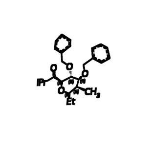 CC[C@H]1O[C@@H](C(=O)C(C)C)[C@H](OCc2ccccc2)[C@@H](OCc2ccccc2)[C@H]1C